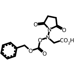 O=C(O)CN(OC(=O)OCc1ccccc1)N1C(=O)CCC1=O